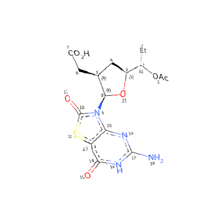 CC[C@H](OC(C)=O)[C@@H]1C[C@H](CC(=O)O)[C@H](n2c(=O)sc3c(=O)[nH]c(N)nc32)O1